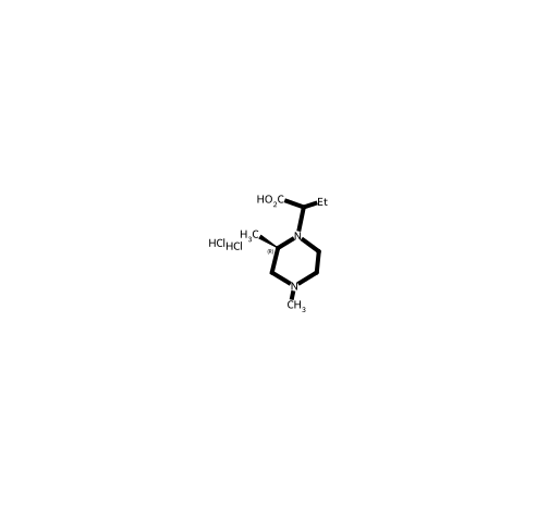 CCC(C(=O)O)N1CCN(C)C[C@H]1C.Cl.Cl